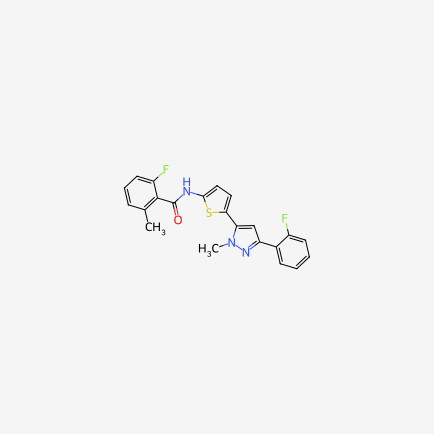 Cc1cccc(F)c1C(=O)Nc1ccc(-c2cc(-c3ccccc3F)nn2C)s1